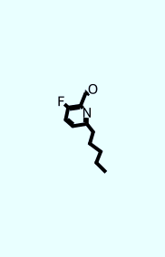 CCCCCc1ccc(F)c([C]=O)n1